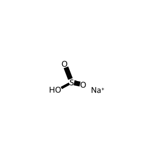 O=[S-](=O)O.[Na+]